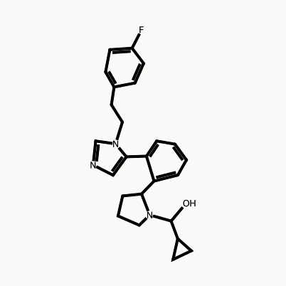 OC(C1CC1)N1CCCC1c1ccccc1-c1cncn1CCc1ccc(F)cc1